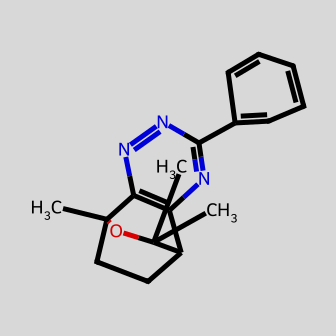 CC12CCC(c3nc(-c4ccccc4)nnc31)C(C)(C)O2